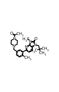 CC(=O)N1CCN(Cc2ccc(C)c(-c3ccc4c(n3)n(C)c(=O)n4CC(C)(C)C)c2)CC1